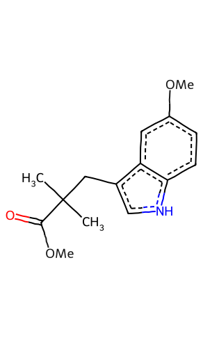 COC(=O)C(C)(C)Cc1c[nH]c2ccc(OC)cc12